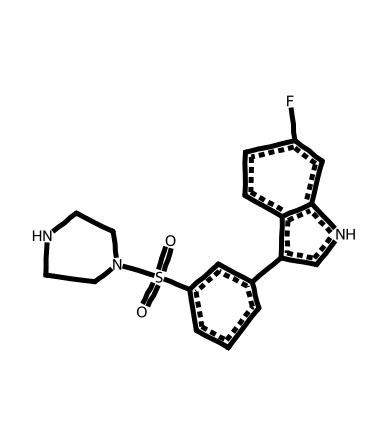 O=S(=O)(c1cccc(-c2c[nH]c3cc(F)ccc23)c1)N1CCNCC1